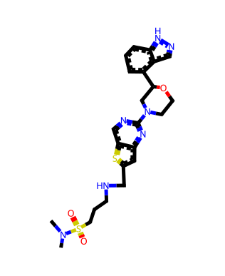 CN(C)S(=O)(=O)CCCNCc1cc2nc(N3CCOC(c4cccc5[nH]ncc45)C3)ncc2s1